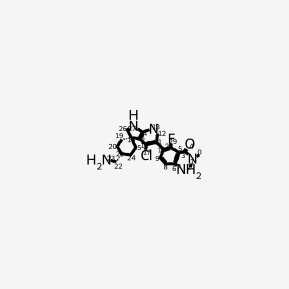 CN(C)C(=O)c1c(N)ccc(-c2cnc3c(c2Cl)[C@]2(CC[C@@H](CN)CC2)CN3)c1F